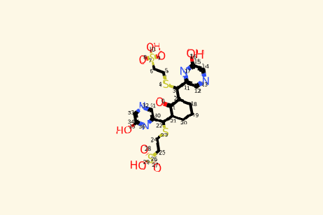 O=C1C(C(SCCS(=O)(=O)O)c2cncc(O)n2)CCCC1C(SCCS(=O)(=O)O)c1cncc(O)n1